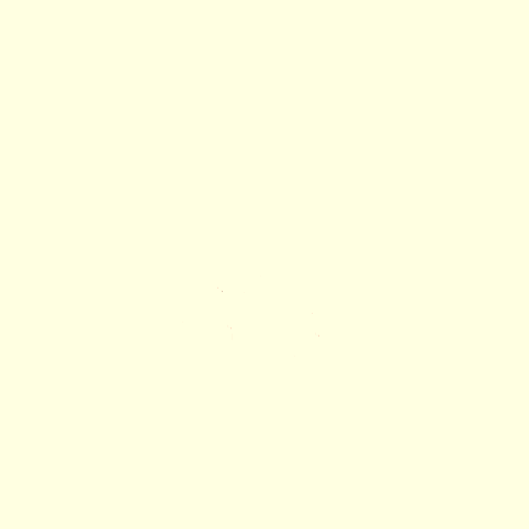 Cc1nc2c(O[C@H]3CCOc4cccc(F)c43)cc(C(=O)N(C)C)cc2[nH]1